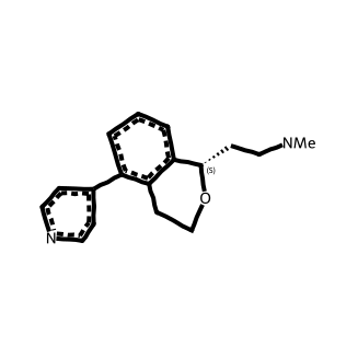 CNCC[C@@H]1OCCc2c(-c3ccncc3)cccc21